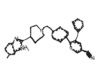 Cc1ccc2nc(C3CCN(Cc4ccc(-c5ncc(C#N)cc5-c5ccccc5)cc4)CC3)[nH]c2c1